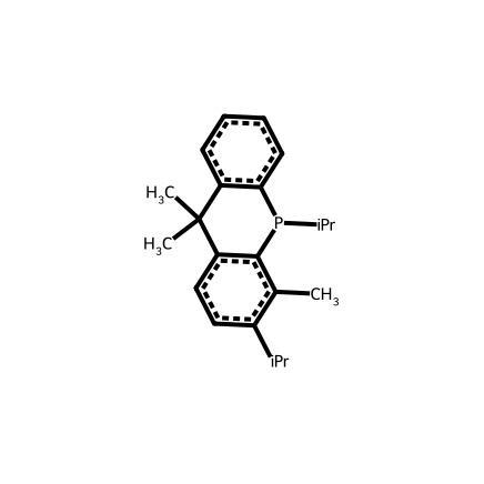 Cc1c(C(C)C)ccc2c1P(C(C)C)c1ccccc1C2(C)C